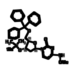 CONc1ccn([C@H]2C[C@H](O[Si](C)(C)C(C)(C)C)[C@@H](COC(c3ccccc3)(c3ccccc3)c3ccccc3)O2)c(=O)n1